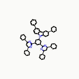 c1ccc(-c2ccc3c(c2)c2cc(-c4ccccc4)ccc2n3-c2cc(-c3nc(-c4ccccc4)cc(-c4ccccc4)n3)cc(-c3nc(-c4ccccc4)cc(-c4ccccc4)n3)c2)cc1